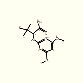 COc1cc(OC)nc(OC(C(=O)O)C(C)(C)C)n1